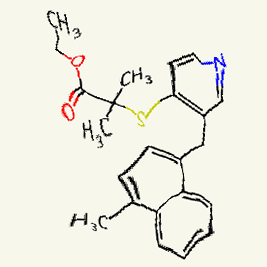 CCOC(=O)C(C)(C)Sc1ccncc1Cc1ccc(C)c2ccccc12